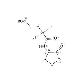 CCCCCCCCCCC(F)(F)C(=O)N[C@H]1CCOC1=O